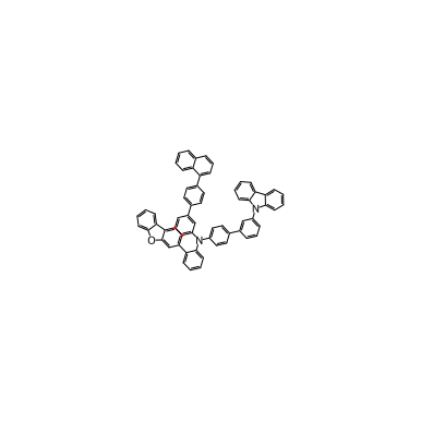 c1cc(-c2ccc(-c3cccc4ccccc34)cc2)cc(N(c2ccc(-c3cccc(-n4c5ccccc5c5ccccc54)c3)cc2)c2ccccc2-c2ccc3c(c2)oc2ccccc23)c1